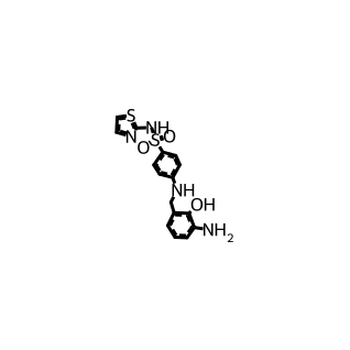 Nc1cccc(CNc2ccc(S(=O)(=O)Nc3nccs3)cc2)c1O